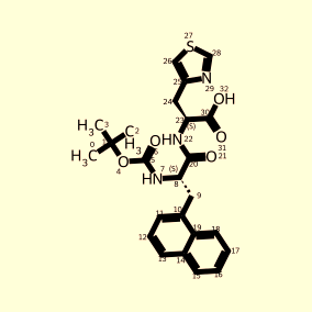 CC(C)(C)OC(=O)N[C@@H](Cc1cccc2ccccc12)C(=O)N[C@@H](Cc1cscn1)C(=O)O